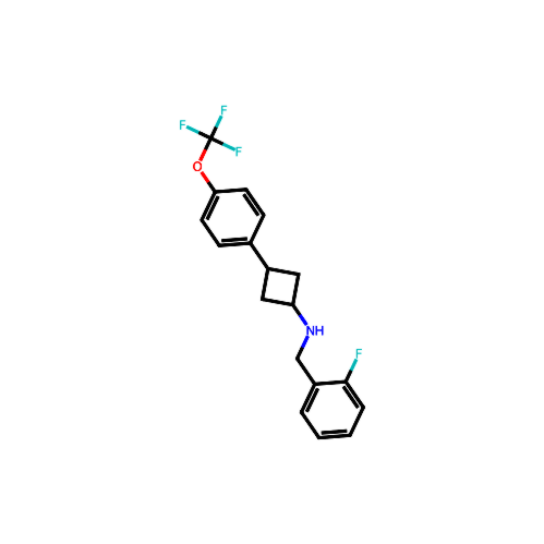 Fc1ccccc1CNC1CC(c2ccc(OC(F)(F)F)cc2)C1